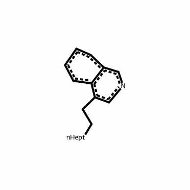 CCCCCCCCCc1cncc2ccccc12